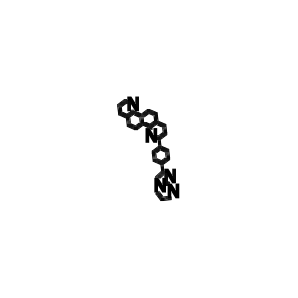 c1cnc2c(c1)ccc1c2ccc2ccc(-c3ccc(-c4cn5cccnc5n4)cc3)nc21